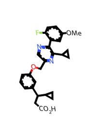 COc1ccc(F)c(-c2ncc(COc3cccc(C(CC(=O)O)C4CC4)c3)nc2C2CC2)c1